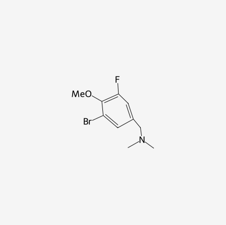 COc1c(F)cc(CN(C)C)cc1Br